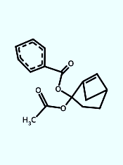 CC(=O)OC1(OC(=O)c2ccccc2)CCC2C=C1C2